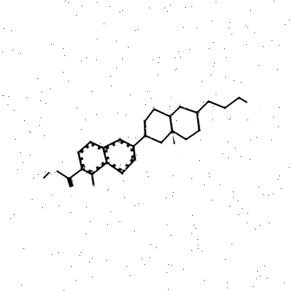 CCCCC1CC[C@@H]2CC(c3ccc4c(F)c(C(=O)OC)ccc4c3)CC[C@H]2C1